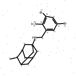 CC1C2CC3CC1CC(NCc1cc(Br)cc(Br)c1N)(C3)C2